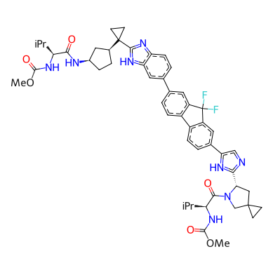 COC(=O)N[C@H](C(=O)N[C@@H]1CC[C@H](C2(c3nc4ccc(-c5ccc6c(c5)C(F)(F)c5cc(-c7cnc([C@@H]8CC9(CC9)CN8C(=O)[C@@H](NC(=O)OC)C(C)C)[nH]7)ccc5-6)cc4[nH]3)CC2)C1)C(C)C